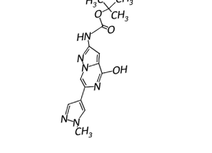 Cn1cc(-c2cn3nc(NC(=O)OC(C)(C)C)cc3c(O)n2)cn1